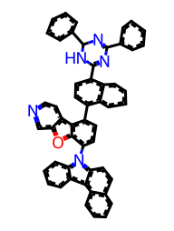 c1ccc(C2=NC(c3ccccc3)NC(c3ccc(-c4ccc(-n5c6ccccc6c6c7ccccc7ccc65)c5oc6cnccc6c45)c4ccccc34)=N2)cc1